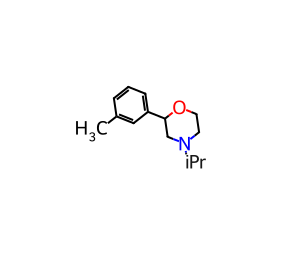 Cc1cccc(C2CN(C(C)C)CCO2)c1